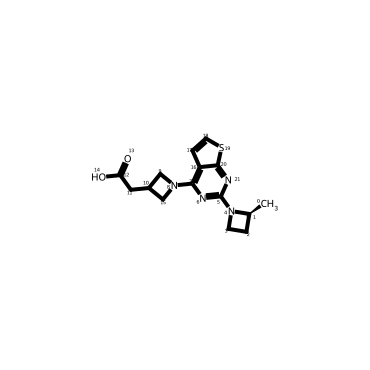 C[C@H]1CCN1c1nc(N2CC(CC(=O)O)C2)c2ccsc2n1